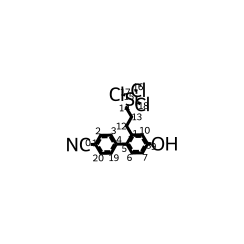 N#Cc1ccc(-c2ccc(O)cc2CCC[Si](Cl)(Cl)Cl)cc1